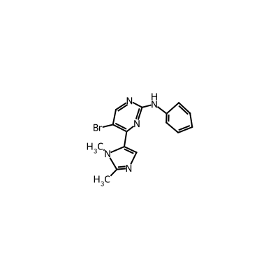 Cc1ncc(-c2nc(Nc3ccccc3)ncc2Br)n1C